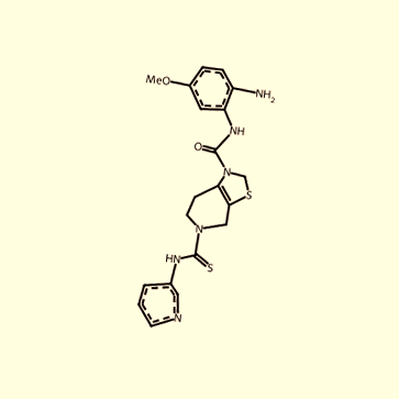 COc1ccc(N)c(NC(=O)N2CSC3=C2CCN(C(=S)Nc2cccnc2)C3)c1